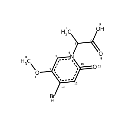 COc1cn(C(C)C(=O)O)c(=O)cc1Br